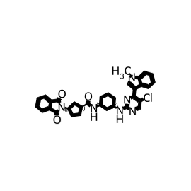 Cn1cc(-c2nc(N[C@@H]3CCC[C@H](NC(=O)[C@H]4CC[C@@H](N5C(=O)c6ccccc6C5=O)C4)C3)ncc2Cl)c2ccccc21